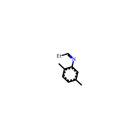 CC/C=N\c1cc(C)ccc1C